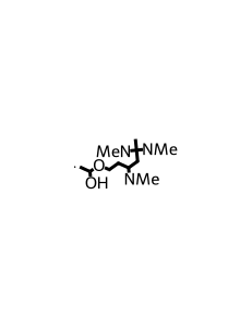 [CH2]C(O)OCCC(CC(C)(NC)NC)NC